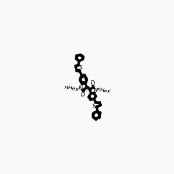 CCCCCCN1C(=O)/C(=C2/C(=O)N(CCCCCC)c3cc(-c4ccc(-c5ccccc5)s4)ccc32)c2ccc(-c3ccc(-c4ccccc4)s3)cc21